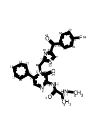 CNC(C)C(=O)Nc1ncc(-c2ccccc2)n(Cc2nc(C(=O)c3ccc(F)cc3)cs2)c1=O